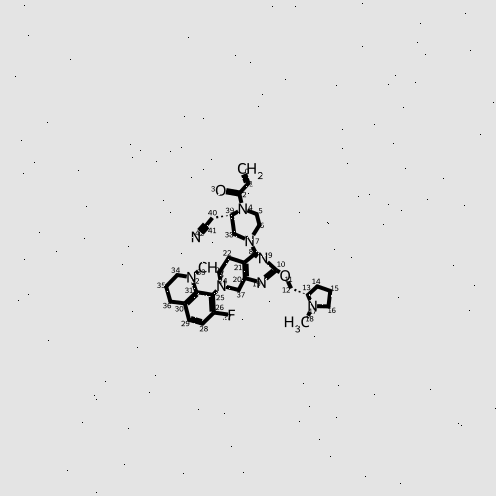 C=CC(=O)N1CCN(c2nc(OC[C@@H]3CCCN3C)nc3c2CCN(c2c(F)ccc4c2N(C)CCC4)C3)C[C@@H]1CC#N